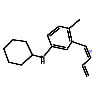 C=C/C=C\c1cc(NC2CCCCC2)ccc1C